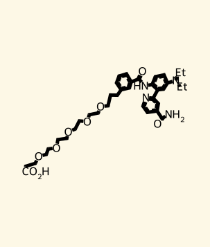 CCN(CC)c1ccc(NC(=O)c2cccc(CCCOCCOCCOCCOCCOCCC(=O)O)c2)c(-c2cc(C(N)=O)ccn2)c1